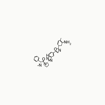 CC1=C(N)CC(c2ncc(-c3ccc4[nH]c([C@@H]5CCCN5C(=O)[C@@H](c5ccccc5)N(C)C)nc4c3)o2)C=C1